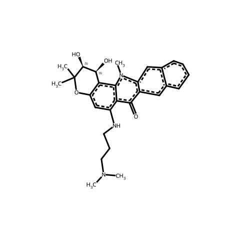 CN(C)CCCNc1cc2c(c3c1c(=O)c1cc4ccccc4cc1n3C)[C@H](O)[C@H](O)C(C)(C)O2